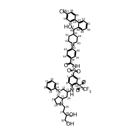 O=C(NS(=O)(=O)c1ccc(NC(CSc2ccccc2)CC2CCCN2CCC(O)CO)c(S(=O)(=O)C(F)(F)F)c1)c1ccc(N2CCC([C@@H](O)c3ccccc3-c3ccc(Cl)cc3)CC2)cc1